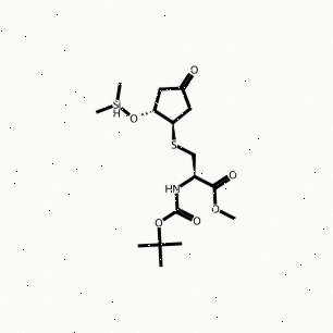 COC(=O)[C@H](CS[C@@H]1CC(=O)C[C@H]1O[SiH](C)C)NC(=O)OC(C)(C)C